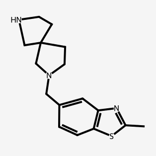 Cc1nc2cc(CN3CCC4(CCNC4)C3)ccc2s1